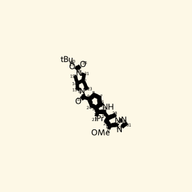 COc1cc(-c2[nH]c3ccc(C(=O)N4CC5CN(C(=O)OC(C)(C)C)CC5C4)cc3c2C(C)C)cn2ncnc12